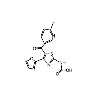 Cc1ccc(C(=O)c2sc(NC(=O)O)nc2-c2ccco2)cn1